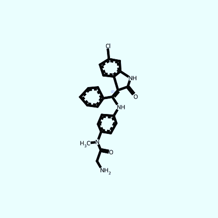 CN(C(=O)CN)c1ccc(N/C(=C2\C(=O)Nc3cc(Cl)ccc32)c2ccccc2)cc1